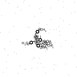 COc1ccc(CN(Cc2ccc(OC)cc2)S(=O)(=O)c2c(SCC(O)CN(C(=O)O)C(C)(C)C)ccc(I)c2-c2nnn(Cc3ccc(OC)cc3)n2)cc1